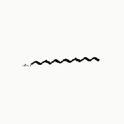 [CH]=CC=CC=CC=CC=CC=CC=CCCCCCCCCC